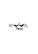 C=COC=C.OF